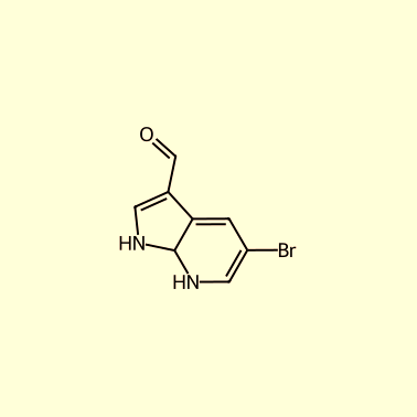 O=CC1=CNC2NC=C(Br)C=C12